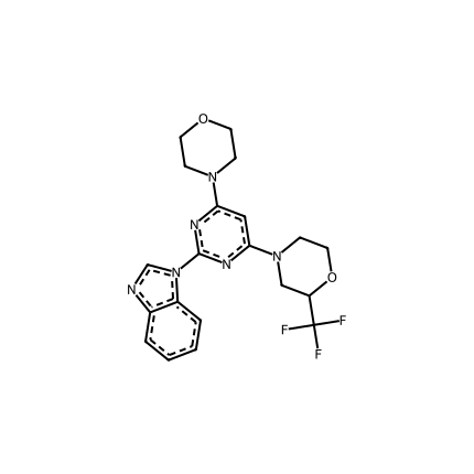 FC(F)(F)C1CN(c2cc(N3CCOCC3)nc(-n3cnc4ccccc43)n2)CCO1